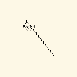 CCCCCCCCCC=CC=CC=CC=CC=CC(=O)N[C@@H](CC(C)C)C(=O)O